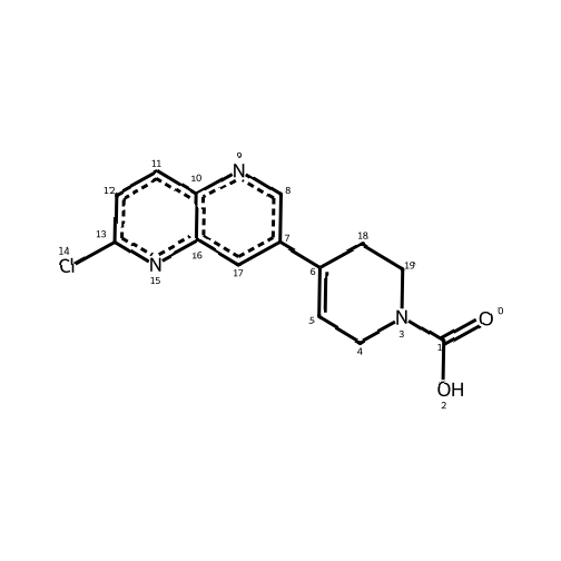 O=C(O)N1CC=C(c2cnc3ccc(Cl)nc3c2)CC1